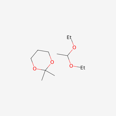 CC1(C)OCCCO1.CCOC(C)OCC